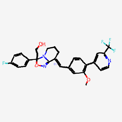 COc1cc(/C=C2\CCCN3C2=NOC3(CO)c2ccc(F)cc2)ccc1-c1ccnc(C(F)(F)F)c1